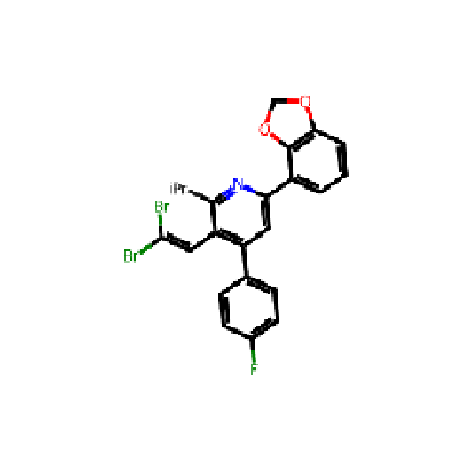 CC(C)c1nc(-c2cccc3c2OCO3)cc(-c2ccc(F)cc2)c1C=C(Br)Br